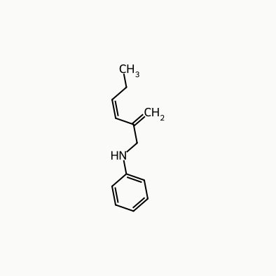 C=C(/C=C\CC)CNc1ccccc1